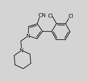 N#Cc1cn(CN2CCCCC2)cc1-c1cccc(Cl)c1Cl